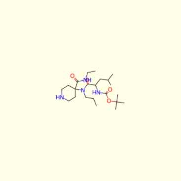 CCCN(C(=O)C(CC(C)C)NC(=O)OC(C)(C)C)C1(C(=O)NCC)CCNCC1